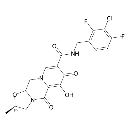 C[C@@H]1CN2C(=O)c3c(O)c(=O)c(C(=O)NCc4ccc(F)c(Cl)c4F)cn3CC2O1